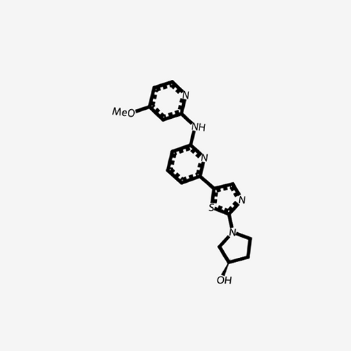 COc1ccnc(Nc2cccc(-c3cnc(N4CC[C@@H](O)C4)s3)n2)c1